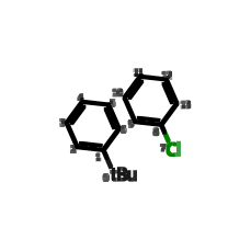 CC(C)(C)c1ccccc1.Clc1ccccc1